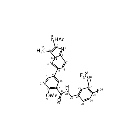 COc1ncc(-c2ccc3nc(NC(C)=O)c(C)n3n2)cc1C(=O)NCc1ccc(F)c(OC(F)(F)F)c1